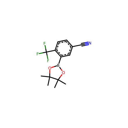 CC1(C)OB(c2cc(C#N)ccc2C(F)(F)F)OC1(C)C